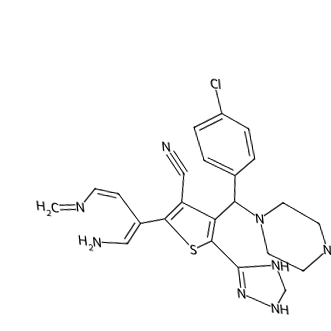 C=N/C=C\C(=C/N)c1sc(C2=NNCN2)c(C(c2ccc(Cl)cc2)N2CCNCC2)c1C#N